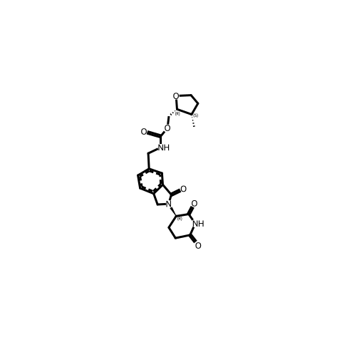 C[C@H]1CCO[C@H]1COC(=O)NCc1ccc2c(c1)C(=O)N([C@@H]1CCC(=O)NC1=O)C2